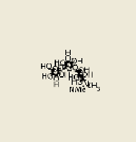 CNCN(C)CC(O)[C@@H](O)[C@H](O)C(O)CO[C@@H]1OC(CO[C@@H]2O[C@H](CO)[C@@H](O)[C@H](O)[C@H]2O)[C@@H](O)[C@H](O)[C@H]1O